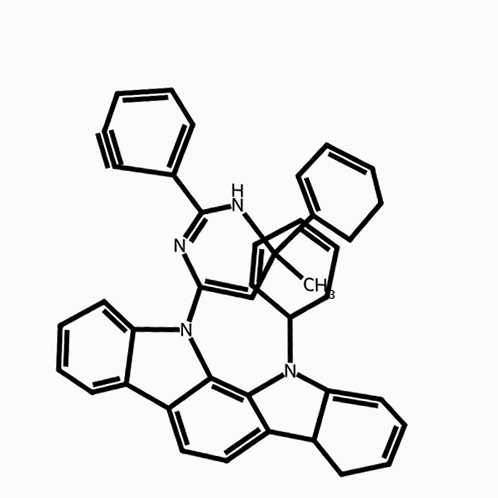 CC1(C2=CC=CCC2)C=C(n2c3ccccc3c3ccc4c(c32)N(C2C=CC=CC2)C2=CC=CCC24)N=C(c2c#cccc2)N1